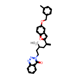 C=C(CC(CCn1nnc2ccccc2c1=O)C(=O)O)c1cc2cc(OCc3cccc(C)c3)ccc2o1